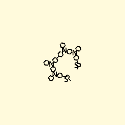 Cc1ccc(-c2ccc(N(c3ccccc3)c3ccc(N(c4ccccc4)c4ccc(-c5ccc(N(c6ccccc6)c6ccc(N(c7ccccc7)c7ccc(-c8ccc(C)s8)cc7)cc6)cc5)cc4)cc3)cc2)s1